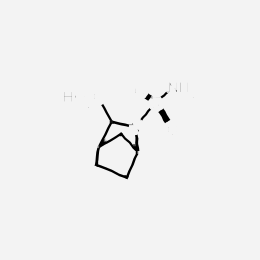 NS(=O)(=O)N1C2CCC(C2)C1C(=O)O